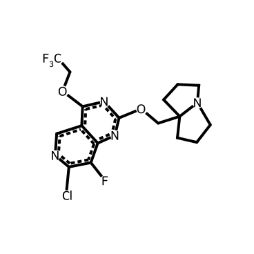 Fc1c(Cl)ncc2c(OCC(F)(F)F)nc(OCC34CCCN3CCC4)nc12